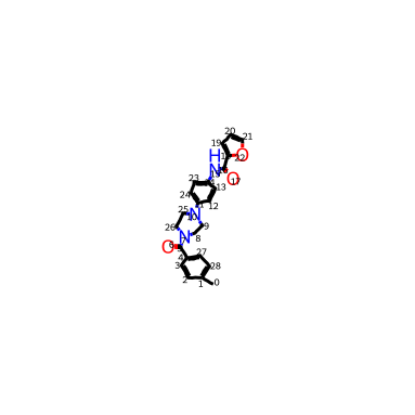 Cc1ccc(C(=O)N2CCN(c3ccc(NC(=O)c4ccco4)cc3)CC2)cc1